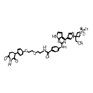 CCS(=O)(=O)N1CC(CC#N)(n2cc(-c3nc(Nc4ccc(C(=O)NCCOCCOc5ccc(C6CCC(=O)NC6=O)cc5)cc4)nc4[nH]ccc34)cn2)C1